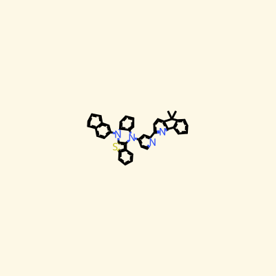 CC1(C)c2ccccc2-c2nc(-c3cc(N4c5ccccc5N(c5ccc6ccccc6c5)c5sc6ccccc6c54)ccn3)ccc21